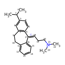 CC(C)c1ccc2c(c1)CCc1ccccc1/C2=C\CCN(C)C